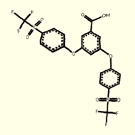 O=C(O)c1cc(Oc2ccc(S(=O)(=O)C(F)(F)F)cc2)cc(Oc2ccc(S(=O)(=O)C(F)(F)F)cc2)c1